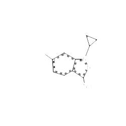 Nc1nn(C2CC2)c2cc(C(=O)O)ccc12